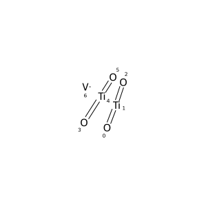 [O]=[Ti]=[O].[O]=[Ti]=[O].[V]